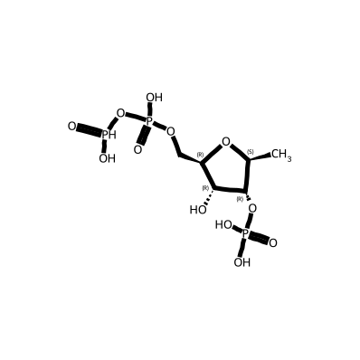 C[C@@H]1O[C@H](COP(=O)(O)O[PH](=O)O)[C@@H](O)[C@H]1OP(=O)(O)O